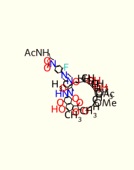 CO[C@H]1/C=C/O[C@@]2(C)Oc3c(C)c(O)c4c(c3C2=O)C(=O)C(N2CC(C(=O)N3CCN(c5ccc(N6C[C@H](CNC(C)=O)OC6=O)cc5F)CC3)C2)=C(NC(=O)/C(C)=C\C=C\[C@H](C)[C@H](O)[C@@H](C)[C@@H](O)[C@@H](C)[C@H](OC(C)=O)C1)C4=O